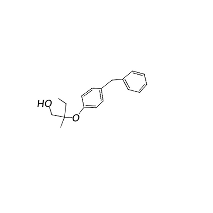 CCC(C)(CO)Oc1ccc(Cc2ccccc2)cc1